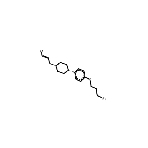 CCC=CC[C@H]1CC[C@H](c2ccc(OCCCC(F)(F)F)cc2)CC1